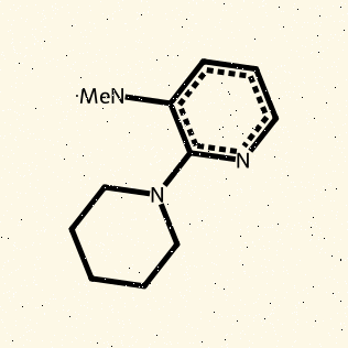 C[N]c1cccnc1N1CCCCC1